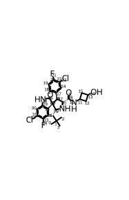 CC(C)(C)C[C@H]1N[C@@H](C(=O)NC2CC(O)C2)[C@H](c2ccc(F)c(Cl)c2)[C@@]12C(=O)Nc1cc(Cl)c(F)cc12